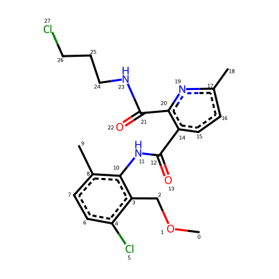 COCc1c(Cl)ccc(C)c1NC(=O)c1ccc(C)nc1C(=O)NCCCCl